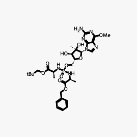 COc1nc(N)nc2c1ncn2[C@@H]1O[C@H](COP(=O)(N[C@@H](C)C(=O)OCc2ccccc2)N[C@@H](C)C(=O)OCC(C)(C)C)[C@@H](O)[C@@]1(C)O